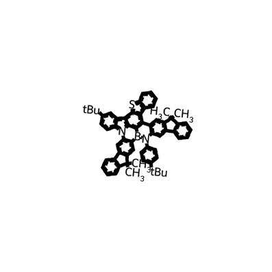 CC(C)(C)c1ccc(N2B3c4cc5c(cc4-n4c6ccc(C(C)(C)C)cc6c6c7sc8ccccc8c7c(c3c64)-c3cc4c(cc32)-c2ccccc2C4(C)C)-c2ccccc2C5(C)C)cc1